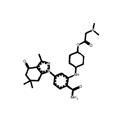 Cc1nn(-c2ccc(C(N)=O)c(NC3CCC(OC(=O)CN(C)C)CC3)c2)c2c1C(=O)CC(C)(C)C2